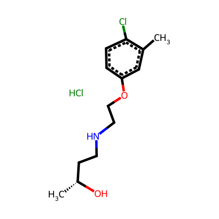 Cc1cc(OCCNCC[C@@H](C)O)ccc1Cl.Cl